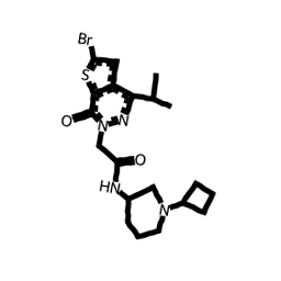 CC(C)c1nn(CC(=O)NC2CCCN(C3CCC3)C2)c(=O)c2sc(Br)cc12